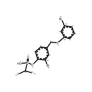 O=P(O)(Oc1ccc(CSc2cccc(Br)c2)cc1Br)C(F)F